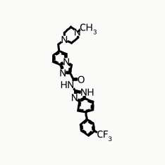 CN1CCN(Cc2ccc3nc(C(=O)Nc4nc5cc(-c6cccc(C(F)(F)F)c6)ccc5[nH]4)cn3c2)CC1